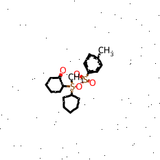 Cc1ccc(S(=O)(=O)OS(C)(C2CCCCC2)C2CCCCC2=O)cc1